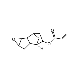 C=CC(=O)OC1CC2C[C@@H]1C1CC3OC3C21